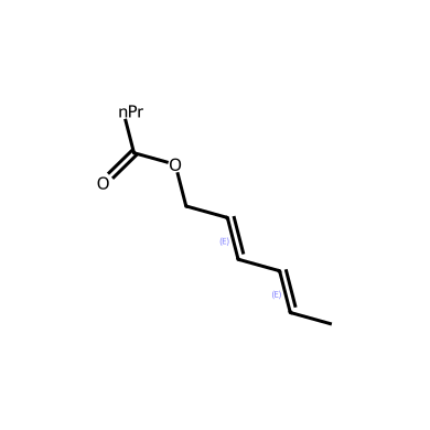 C/C=C/C=C/COC(=O)CCC